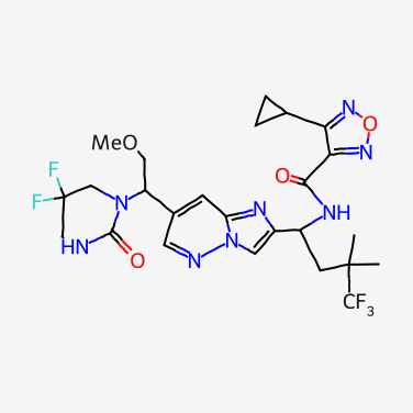 COCC(c1cnn2cc(C(CC(C)(C)C(F)(F)F)NC(=O)c3nonc3C3CC3)nc2c1)N1CC(F)(F)CNC1=O